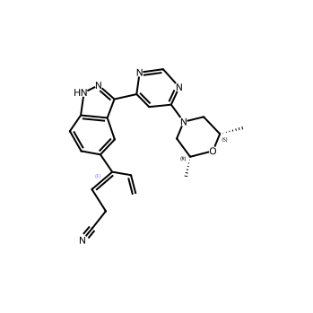 C=C/C(=C\CC#N)c1ccc2[nH]nc(-c3cc(N4C[C@@H](C)O[C@@H](C)C4)ncn3)c2c1